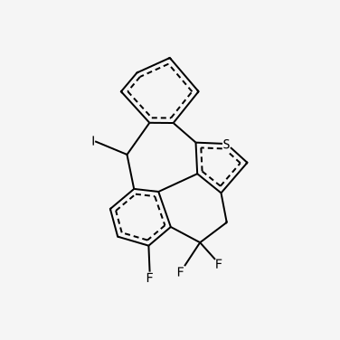 Fc1ccc2c3c1C(F)(F)Cc1csc(c1-3)-c1ccccc1C2I